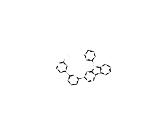 N#Cc1cc(-c2cccc(-c3ccc4c5ccccc5n(-c5ccccc5)c4c3)n2)ccn1